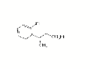 CCOC(=O)CC(C)C1CC=CC=C1Cl